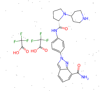 NC(=O)c1cccc2cn(-c3ccc(NC(=O)[C@@H]4CCCN4C4CCNCC4)cc3)nc12.O=C(O)C(F)(F)F.O=C(O)C(F)(F)F